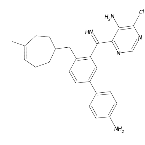 CC1=CCCC(Cc2ccc(-c3ccc(N)cc3)cc2C(=N)c2ncnc(Cl)c2N)CC1